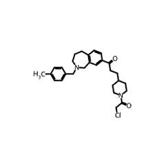 Cc1ccc(CN2CCCc3ccc(C(=O)CCC4CCN(C(=O)CCl)CC4)cc3C2)cc1